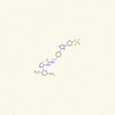 Cc1ccc(C)c(-c2ncsc2NC(=O)NCCc2ccc(-c3ncn(-c4ccc(OC(F)(F)F)cc4)n3)cc2)c1